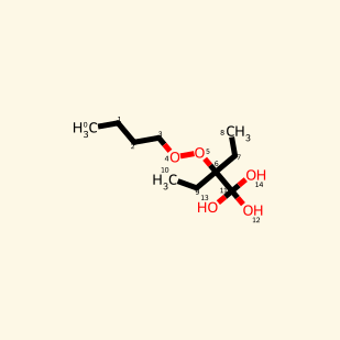 CCCCOOC(CC)(CC)C(O)(O)O